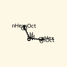 CCCCCCCCC(CCCCCC)C(=O)OCCCCCCCNC1CCCCC1NCCCCCCCOC(=O)C(CCCCCC)CCCCCCCC